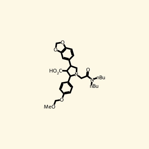 CCCCN(CCCC)C(=O)CN1CC(c2ccc3c(c2)OCO3)C(C(=O)O)C1c1ccc(OCOC)cc1